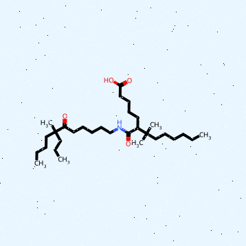 CCCCCCC(C)(C)C(CCCCC(=O)O)C(=O)NCCCCCC(=O)C(C)(CCC)CCCC